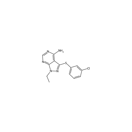 CCn1nc(Sc2cccc(Cl)c2)c2c(N)ncnc21